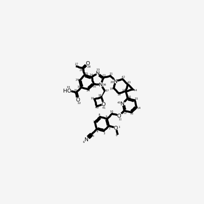 COc1cc(C#N)ccc1COc1cccc(C23CCN(Cc4nc5c(C(C)=O)cc(C(=O)O)cc5n4C[C@@H]4CCO4)CC2C3)n1